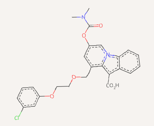 CN(C)C(=O)Oc1cc(COCCOc2cccc(Cl)c2)c2c(C(=O)O)c3ccccc3n2c1